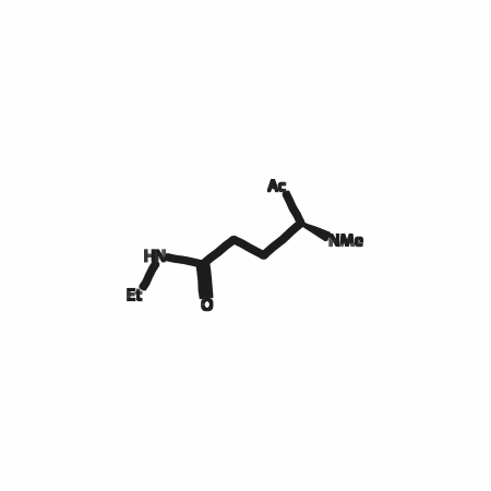 CCNC(=O)CC[C@H](NC)C(C)=O